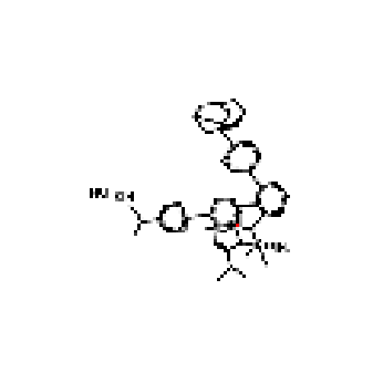 CCC1=Cc2c(-c3ccc(C45CC6CC(CC(C6)C4)C5)cc3)cccc2[CH]1[Zr]([CH3])([CH3])(=[SiH2])[CH]1C(C(C)C)=Cc2c(-c3ccc(C(C)C)cc3)cccc21.Cl.Cl